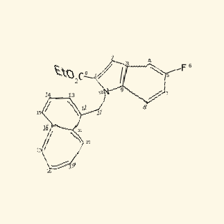 CCOC(=O)c1cc2cc(F)ccc2n1Cc1cccc2ccccc12